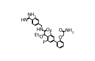 CCO[C@H](C(=O)NCc1ccc(C(=N)N)cc1)c1c(F)cc(-c2ccccc2OCC(N)=O)cc1F